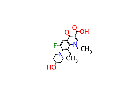 CCc1c(N2CCC(O)CC2)c(F)cc2c(=O)c(C(=O)O)cn(CC)c12